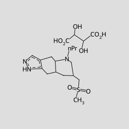 CCCN1CC(CS(C)(=O)=O)CC2Cc3[nH]ncc3CC21.O=C(O)C(O)C(O)C(=O)O